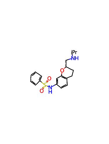 CC(C)NCC1CCc2ccc(NS(=O)(=O)c3ccccc3)cc2O1